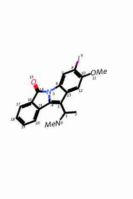 CNC(C)c1c2n(c3cc(I)c(OC)cc13)C(=O)c1ccccc1-2